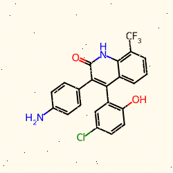 Nc1ccc(-c2c(-c3cc(Cl)ccc3O)c3cccc(C(F)(F)F)c3[nH]c2=O)cc1